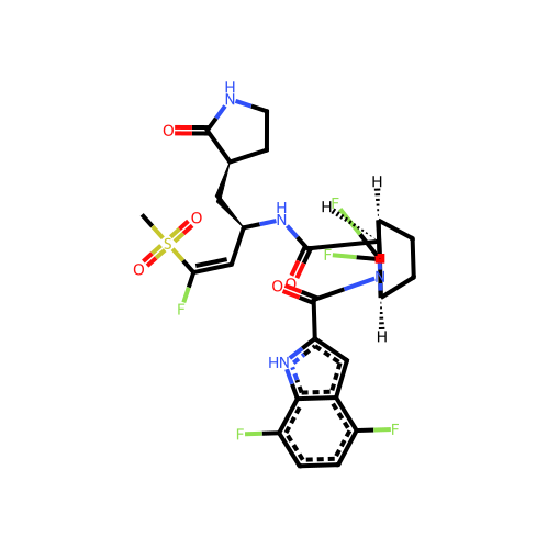 CS(=O)(=O)/C(F)=C\[C@@H](C[C@@H]1CCNC1=O)NC(=O)[C@H]1[C@H]2CC[C@H](CC2(F)F)N1C(=O)c1cc2c(F)ccc(F)c2[nH]1